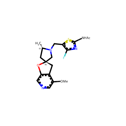 COc1cncc2c1C[C@]1(C[C@H](C)N(Cc3sc(NC(C)=O)nc3F)C1)O2